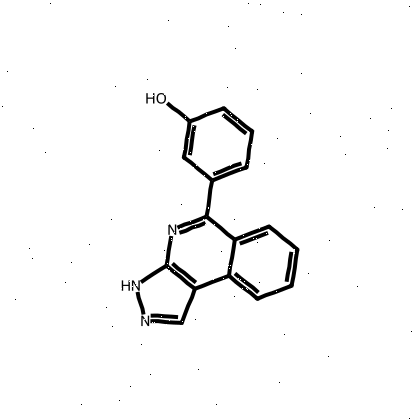 Oc1cccc(-c2nc3[nH]ncc3c3ccccc23)c1